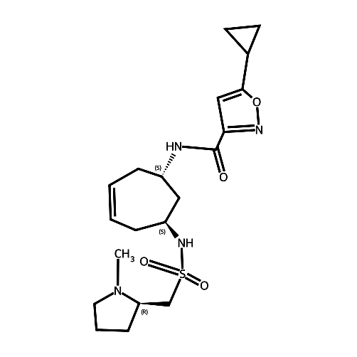 CN1CCC[C@@H]1CS(=O)(=O)N[C@H]1CC=CC[C@H](NC(=O)c2cc(C3CC3)on2)C1